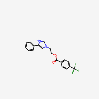 O=C(OCCN1C=C(c2ccccc2)NC1)c1ccc(C(F)(F)F)cc1